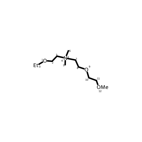 CCOCC[N+](C)(C)CCOCCOC